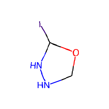 IC1NNCO1